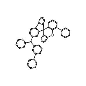 c1ccc(-c2cccc(N(c3ccccc3)c3ccc4c(c3)C3(c5ccccc5Oc5c(-c6ccccc6)cccc53)c3ccccc3-4)c2)cc1